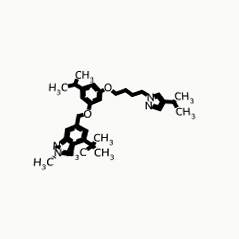 CC(C)c1cc(OCCCCn2cc(C(C)C)cn2)cc(OCc2cc(C(C)(C)C)c3cn(C)nc3c2)c1